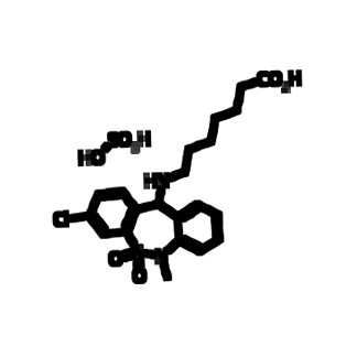 CN1c2ccccc2C(NCCCCCCC(=O)O)c2ccc(Cl)cc2S1(=O)=O.O=S(=O)(O)O